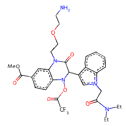 CCN(CC)C(=O)Cn1cc(C2C(=O)N(CCOCCN)c3cc(C(=O)OC)ccc3N2OC(=O)C(F)(F)F)c2ccccc21